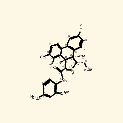 COc1cc(C(=O)O)ccc1NC(=O)[C@@H]1N[C@@H](CC(C)(C)C)[C@]2(C#N)c3ccc(Cl)cc3-c3ccc(Cl)c(F)c3[C@@H]12